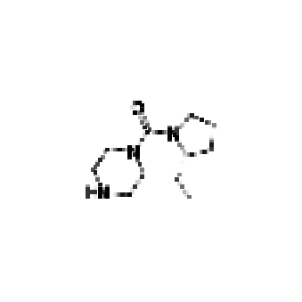 CC[C@H]1CCCN1C(=O)N1CCNCC1